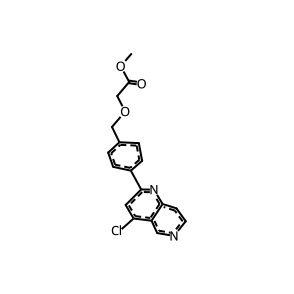 COC(=O)COCc1ccc(-c2cc(Cl)c3cnccc3n2)cc1